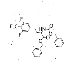 O=C(NC(CCc1cc(F)c(C(F)(F)F)c(F)c1)C(=O)OCc1ccccc1)OCc1ccccc1